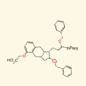 CCCCCC(CCC1C(OCc2ccccc2)CC2Cc3c(cccc3OCC(=O)O)CC21)OCc1ccccc1